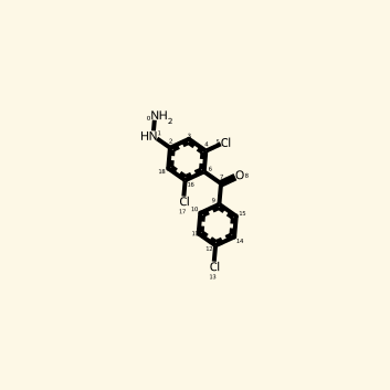 NNc1cc(Cl)c(C(=O)c2ccc(Cl)cc2)c(Cl)c1